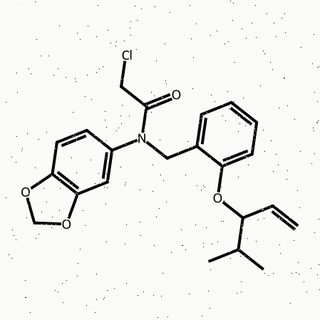 C=CC(Oc1ccccc1CN(C(=O)CCl)c1ccc2c(c1)OCO2)C(C)C